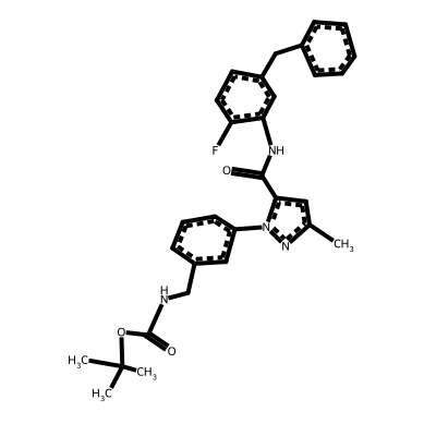 Cc1cc(C(=O)Nc2cc(Cc3ccccc3)ccc2F)n(-c2cccc(CNC(=O)OC(C)(C)C)c2)n1